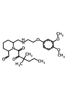 CCCC(C)(C)C(=O)C(=O)N1C(C=O)CCCC1CNCCOc1ccc(OC)c(OC)c1